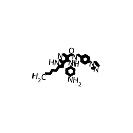 CCCCCc1cc2c(N[C@H]3CC[C@H](N)CC3)c(C(=O)NCc3ccc(-n4ccnc4)cc3)cnc2[nH]1